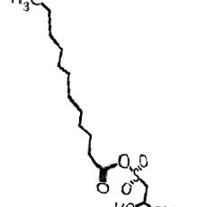 CCCCCCCCCCCC(=O)OS(=O)(=O)CC(C)O